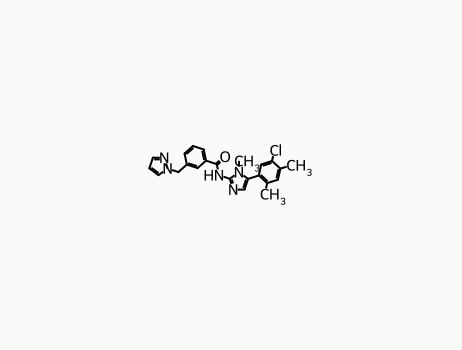 Cc1cc(C)c(-c2cnc(NC(=O)c3cccc(Cn4cccn4)c3)n2C)cc1Cl